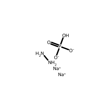 NN.O=P([O-])([O-])O.[Na+].[Na+]